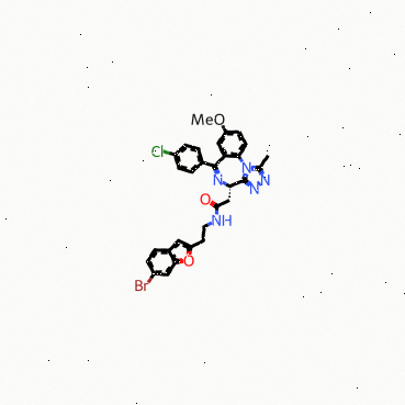 COc1ccc2c(c1)C(c1ccc(Cl)cc1)=N[C@@H](CC(=O)NCCc1cc3ccc(Br)cc3o1)c1nnc(C)n1-2